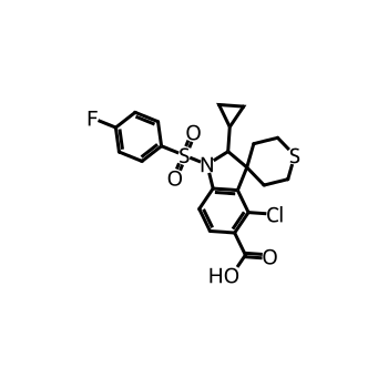 O=C(O)c1ccc2c(c1Cl)C1(CCSCC1)C(C1CC1)N2S(=O)(=O)c1ccc(F)cc1